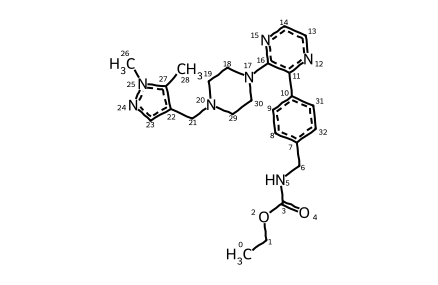 CCOC(=O)NCc1ccc(-c2nccnc2N2CCN(Cc3cnn(C)c3C)CC2)cc1